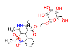 CCS(=O)(=O)C1=C(C)NC(C)=C(C(=O)OCCO[C@@H]2O[C@H](CO)[C@@H](O)[C@H](O)[C@H]2O)C1c1ccccc1[N+](=O)[O-]